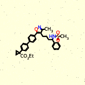 CCOC(=O)C1(c2ccc(-c3ccc(-c4onc(C)c4CCCC(NS(C)(=O)=O)c4ccccc4)cc3)cc2)CC1